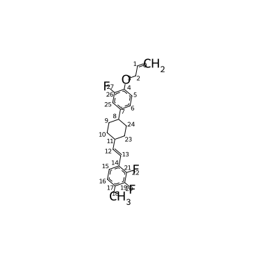 C=CCOc1ccc(C2CCC(/C=C/c3ccc(C)c(F)c3F)CC2)cc1F